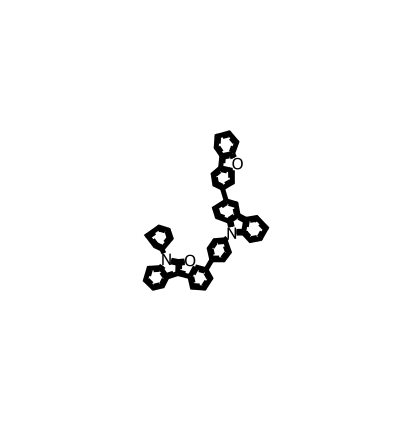 c1ccc(-n2c3ccccc3c3c4cccc(-c5ccc(-n6c7ccccc7c7cc(-c8ccc9c(c8)oc8ccccc89)ccc76)cc5)c4oc32)cc1